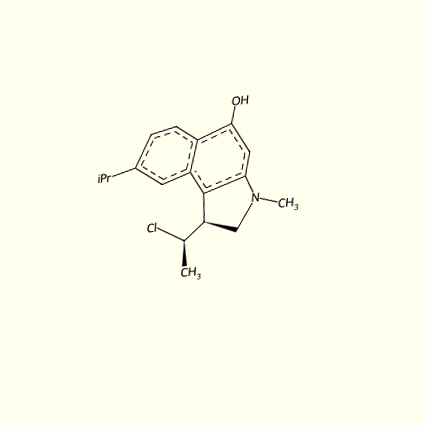 CC(C)c1ccc2c(O)cc3c(c2c1)[C@H]([C@@H](C)Cl)CN3C